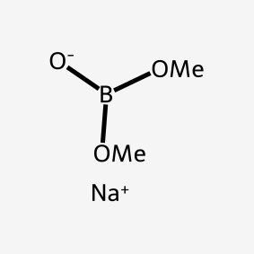 COB([O-])OC.[Na+]